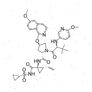 C=C[C@@H]1C[C@]1(NC(=O)[C@@H]1C[C@@H](Oc2nccc3cc(OC)ccc23)CN1C(=O)[C@@H](Nc1ccc(OC)nc1)C(C)(C)C)C(=O)NS(=O)(=O)C1CC1